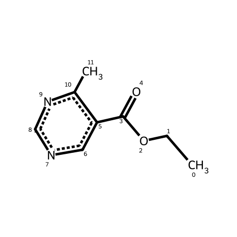 CCOC(=O)c1cn[c]nc1C